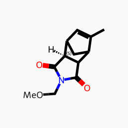 COCN1C(=O)C2C3CC(C=C3C)[C@@H]2C1=O